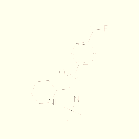 CC(C)(C)N[C@H](C1CCCCN1)S(=O)(=O)c1ccc(C(F)F)cc1